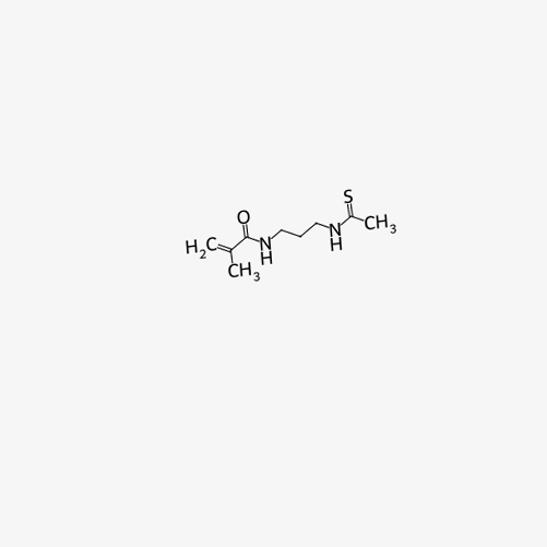 C=C(C)C(=O)NCCCNC(C)=S